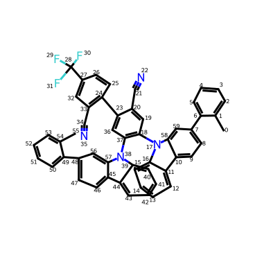 Cc1ccccc1-c1ccc2c3ccccc3n(-c3cc(C#N)c(-c4ccc(C(F)(F)F)cc4C#N)cc3-n3c4ccccc4c4ccc(-c5ccccc5C)cc43)c2c1